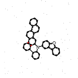 c1ccc(-c2ccccc2N(c2ccc3ccc4c5ccccc5ccc4c3c2)c2ccc3oc4ccccc4c3c2)cc1